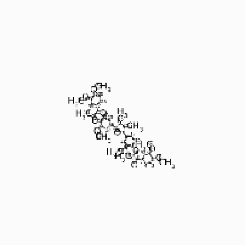 COc1ccc(C(=O)C(C)Oc2ccc([C@H]3OC(c4ccc(O[C@H](C)C(=O)c5ccc(OC)c(OC)c5)c(OC)c4)C(C)[C@H]3C)cc2OC)cc1OC